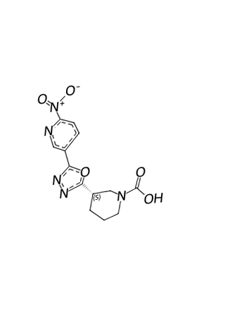 O=C(O)N1CCC[C@H](c2nnc(-c3ccc([N+](=O)[O-])nc3)o2)C1